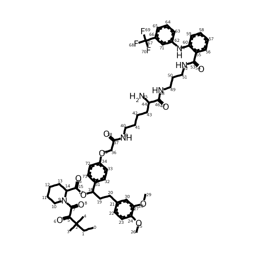 CCC(C)(C)C(=O)C(=O)N1CCCCC1C(=O)OC(CCc1ccc(OC)c(OC)c1)c1ccc(OCC(=O)NCCCCC(N)C(=O)NCCCNC(=O)c2ccccc2Nc2cccc(C(F)(F)F)c2)cc1